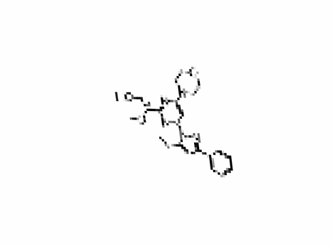 CCc1cc(-c2ccccc2)nn1-c1cc(N2CCOCC2)nc([C@H](CO)OC)n1